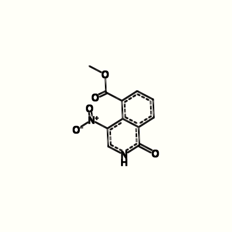 COC(=O)c1cccc2c(=O)[nH]cc([N+](=O)[O-])c12